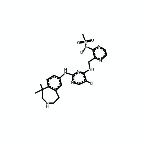 CC1(C)CNCCc2cc(Nc3ncc(Cl)c(NCc4nccnc4N(Cl)S(C)(=O)=O)n3)ccc21